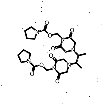 CC(C(C)N1CC(=O)N(COC(=O)N2CCCC2)C(=O)C1)N1CC(=O)N(COC(=O)N2CCCC2)C(=O)C1